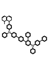 CC1CC=CC2=C1C(c1ccc(N(c3ccccc3)c3ccc(-c4ccc(-c5ccc(N(c6ccccc6)c6ccc(-c7ccccc7)cc6)cc5-c5ccccc5)cc4)cc3)cc1)CC=C2